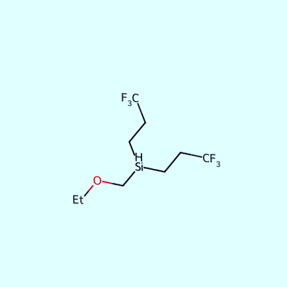 CCOC[SiH](CCC(F)(F)F)CCC(F)(F)F